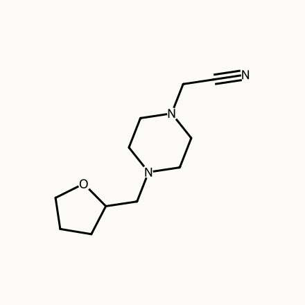 N#CCN1CCN(CC2CCCO2)CC1